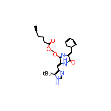 C#CCCCC(=O)OCOc1n/c(=C\C2C=CC=CC2)c(=O)[nH]/c1=C\c1nc[nH]c1C(C)(C)C